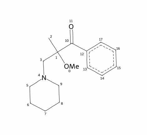 COC(C)(CN1CCCCC1)C(=O)c1ccccc1